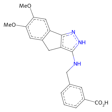 COc1cc2c(cc1OC)-c1n[nH]c(NCc3cccc(C(=O)O)c3)c1C2